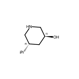 CC(C)[C@@H]1CNC[C@@H](O)C1